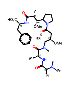 CC[C@H](C)C([C@@H](CC(=O)N1CCCC1[C@H](OC)[C@@H](C)C(=O)N[C@@H](Cc1ccccc1)C(=O)O)OC)N(C)C(=O)[C@@H](NC(=O)[C@H](C(C)C)N(C)C(C)C)C(C)C